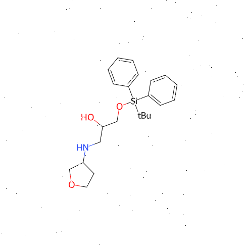 CC(C)(C)[Si](OCC(O)CNC1CCOC1)(c1ccccc1)c1ccccc1